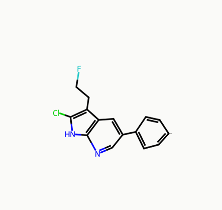 FCCc1c(Cl)[nH]c2ncc(-c3cc[c]cc3)cc12